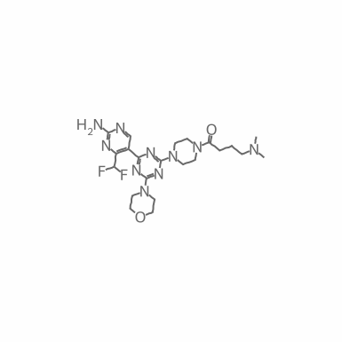 CN(C)CCCC(=O)N1CCN(c2nc(-c3cnc(N)nc3C(F)F)nc(N3CCOCC3)n2)CC1